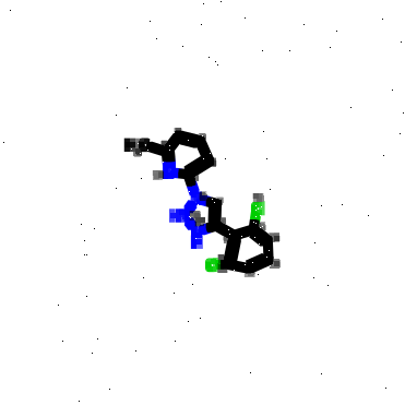 Cc1cccc(N2C=C(c3c(Cl)cccc3Cl)NN2)n1